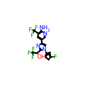 Nc1ncc(-c2cn(C3CC4(F)CC3C4)c(C(O)C(F)(F)F)n2)cc1C(F)(F)F